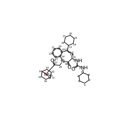 O=C(NC1CCCCC1)NC1N=C(C2CCCCC2)c2ccccc2N(CC(=O)N2CC3CCC(CC3)C2)C1=O